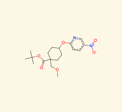 COCC1(C(=O)OC(C)(C)C)CCC(Oc2ccc([N+](=O)[O-])cn2)CC1